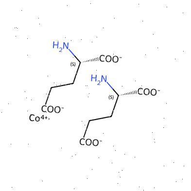 N[C@@H](CCC(=O)[O-])C(=O)[O-].N[C@@H](CCC(=O)[O-])C(=O)[O-].[Co+4]